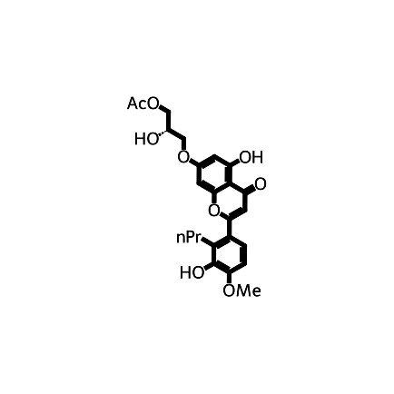 CCCc1c(-c2cc(=O)c3c(O)cc(OC[C@H](O)COC(C)=O)cc3o2)ccc(OC)c1O